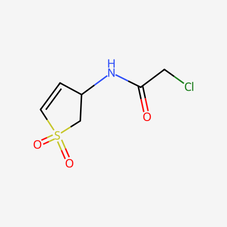 O=C(CCl)NC1C=CS(=O)(=O)C1